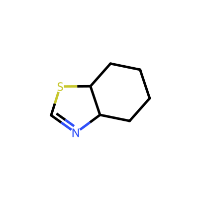 C1=NC2CCCCC2S1